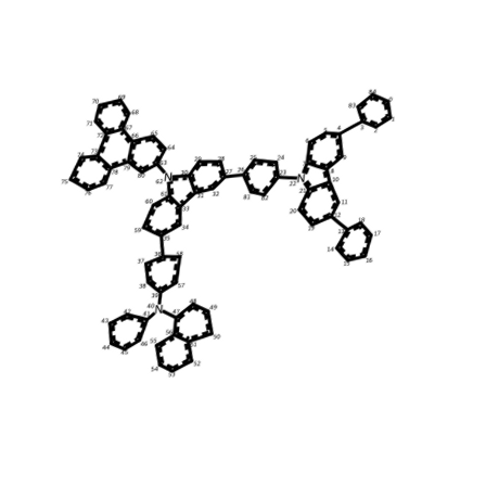 c1ccc(-c2ccc3c(c2)c2cc(-c4ccccc4)ccc2n3-c2ccc(-c3ccc4c(c3)c3cc(-c5ccc(N(c6ccccc6)c6cccc7ccccc67)cc5)ccc3n4-c3ccc4c5ccccc5c5ccccc5c4c3)cc2)cc1